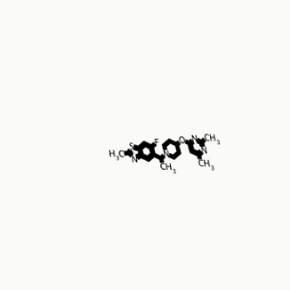 Cc1cc(OC2CCN(C(C)c3cc4nc(C)sc4cc3F)CC2)nc(C)n1